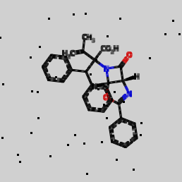 C=C(C)C(C(=O)O)(C(c1ccccc1)c1ccccc1)N1C(=O)[C@@H]2N=C(c3ccccc3)O[C@@H]21